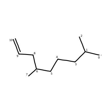 [CH2]C(C)CCCC(C)CC=C